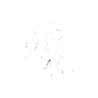 COCOc1c(OC)c(C)cc2c1[C@@H]1Cc3c(O)c(C)c4c(c3[C@H](CNC(=O)[C@H](C)NC(=O)OC(C)(C)C)N1[C@@H](C#N)[C@@H](N(C)C)C2)OCO4